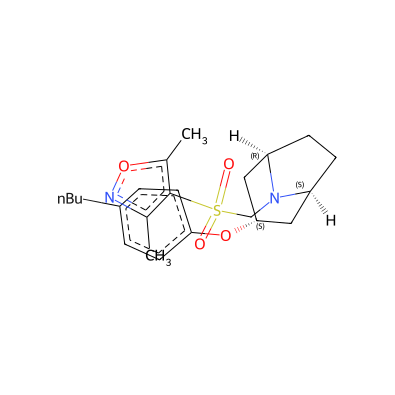 CCCCc1ccc(O[C@@H]2C[C@H]3CC[C@@H](C2)N3CS(=O)(=O)c2c(C)noc2C)cc1